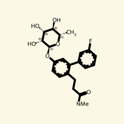 CNC(=O)CCc1ccc(O[C@@H]2O[C@@H](C)[C@H](O)[C@@H](O)[C@H]2O)cc1-c1cccc(F)c1